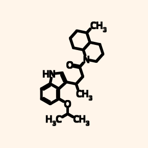 CC(C)Oc1cccc2[nH]cc(C(C)CC(=O)N3CCCC4C(C)CCCC43)c12